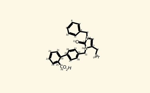 CC(C)Cc1cn(Cc2ccccc2)c(=O)n1Cc1ccc(-c2ccccc2C(=O)O)cc1